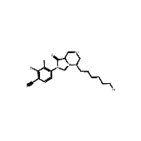 Cc1c(N2CN3C(CCCCCCBr)CNCC3C2=O)ccc(C#N)c1Cl